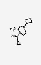 C[C@H]1CN(C2CCC2)CCN1C(=O)C1CC1